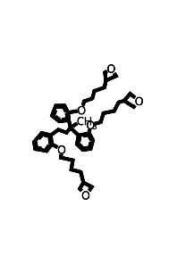 CC(CCc1ccccc1OCCCCC1COC1)(c1ccccc1OCCCCC1COC1)c1ccccc1OCCCCC1COC1